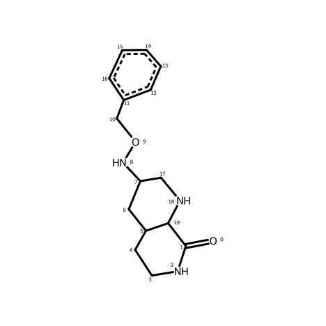 O=C1NCCC2CC(NOCc3ccccc3)CNC12